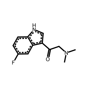 CN(C)CC(=O)c1c[nH]c2ccc(F)cc12